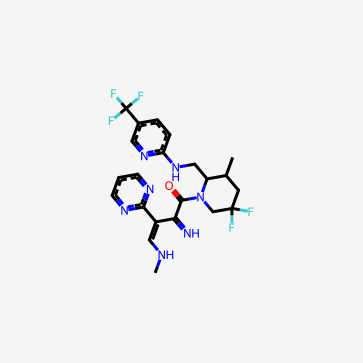 CN/C=C(\C(=N)C(=O)N1CC(F)(F)CC(C)C1CNc1ccc(C(F)(F)F)cn1)c1ncccn1